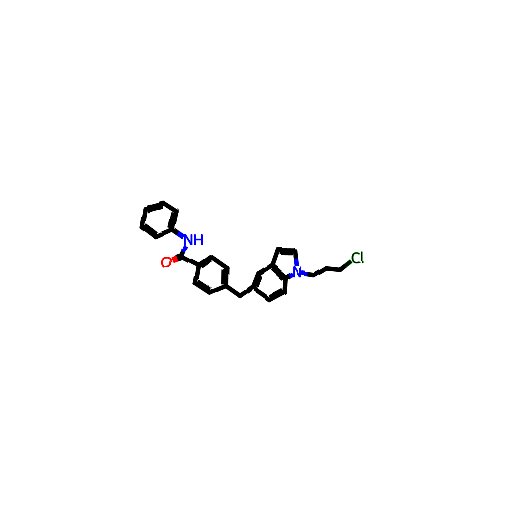 O=C(Nc1ccccc1)c1ccc(Cc2ccc3c(ccn3CCCCl)c2)cc1